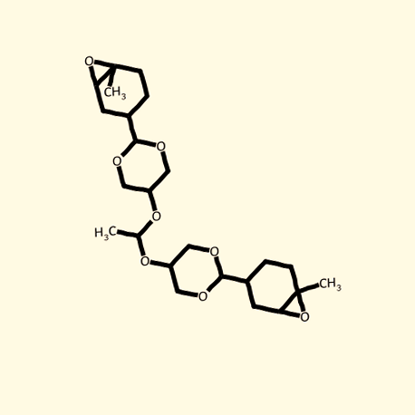 CC(OC1COC(C2CCC3(C)OC3C2)OC1)OC1COC(C2CCC3(C)OC3C2)OC1